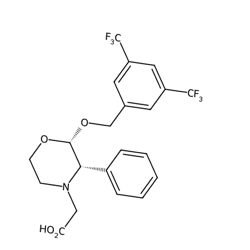 O=C(O)CN1CCO[C@H](OCc2cc(C(F)(F)F)cc(C(F)(F)F)c2)[C@@H]1c1ccccc1